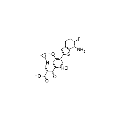 COc1c(-c2cc3c(s2)C(N)C(F)CC3)ccc2c(=O)c(C(=O)O)cn(C3CC3)c12.Cl